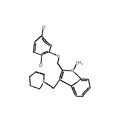 Cn1c(COc2cc(Cl)ccc2Cl)c(CN2CCCCC2)c2ccccc21